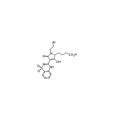 CC(C)CCN1C(=O)C(C2=NS(=O)(=O)c3ccccc3N2)=C(O)C1CCCC(=O)O